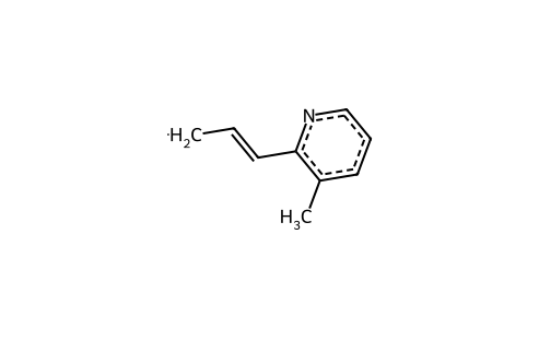 [CH2]C=Cc1ncccc1C